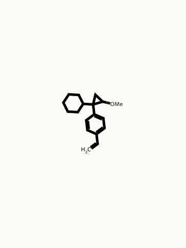 C=Cc1ccc(C2(C3CCCCC3)CC2OC)cc1